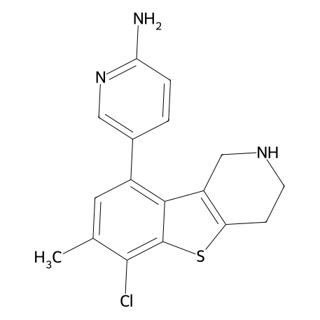 Cc1cc(-c2ccc(N)nc2)c2c3c(sc2c1Cl)CCNC3